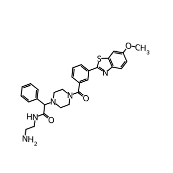 COc1ccc2nc(-c3cccc(C(=O)N4CCN(C(C(=O)NCCN)c5ccccc5)CC4)c3)sc2c1